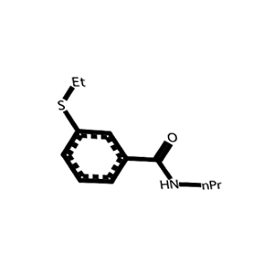 CCCNC(=O)c1cccc(SCC)c1